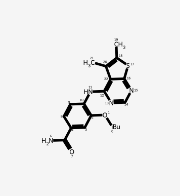 CCC(C)Oc1cc(C(N)=O)ccc1Nc1ncnc2sc(C)c(C)c12